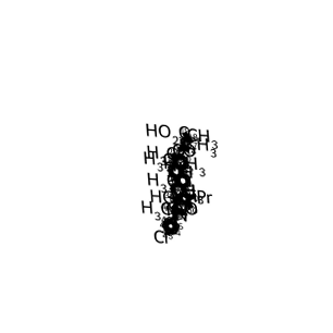 CC(C)C1=C2[C@H]3CC[C@@H]4[C@@]5(C)CC[C@H](OC(=O)CC(C)(C)C(=O)O)C(C)(C)[C@@H]5CC[C@@]4(C)[C@]3(C)CC[C@@]2([C@H](O)c2nnc(-c3ccc(Cl)cc3)n2C)CC1=O